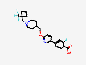 O=C(O)c1ccc(-c2ccc(OCC3CCN(CC4(C(F)(F)F)CCC4)CC3)nc2)cc1F